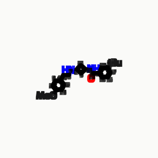 COc1ccc(CCN[C@H]2C[C@H](NC(=O)c3cccc(C(C)(C)C)c3)C2)cc1